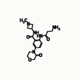 CN1CC(NC(=O)c2cc(N3CCOCC3=O)ccc2NC(=O)CCN)C1